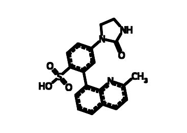 Cc1ccc2cccc(-c3cc(N4CCNC4=O)ccc3S(=O)(=O)O)c2n1